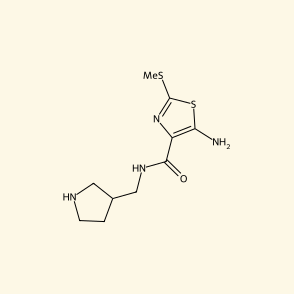 CSc1nc(C(=O)NCC2CCNC2)c(N)s1